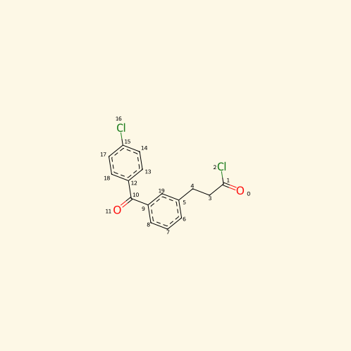 O=C(Cl)CCc1cccc(C(=O)c2ccc(Cl)cc2)c1